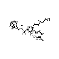 CC1(C)C2CCC(CNC(=O)c3nn(CCCCCCl)c4c3OC3C=C(Cl)C=CC43)C1C2